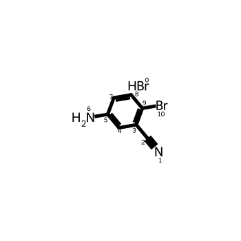 Br.N#Cc1cc(N)ccc1Br